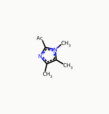 CC(=O)c1nc(C)c(C)n1C